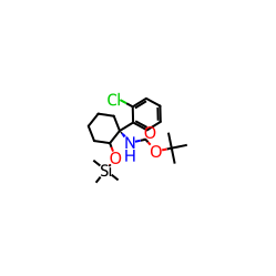 CC(C)(C)OC(=O)N[C@]1(c2ccccc2Cl)CCCCC1O[Si](C)(C)C